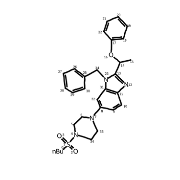 CCCCS(=O)(=O)N1CCN(c2ccc3nc(C(C)Oc4ccccc4)n(Cc4ccccc4)c3c2)CC1